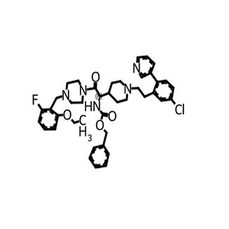 CCOc1cccc(F)c1CN1CCN(C(=O)[C@H](NC(=O)OCc2ccccc2)C2CCN(CCc3cc(Cl)ccc3-c3cccnc3)CC2)CC1